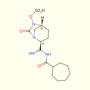 N=C(NC(=O)C1CCCCCC1)[C@@H]1CC[C@@H]2CN1C(=O)N2OS(=O)(=O)O